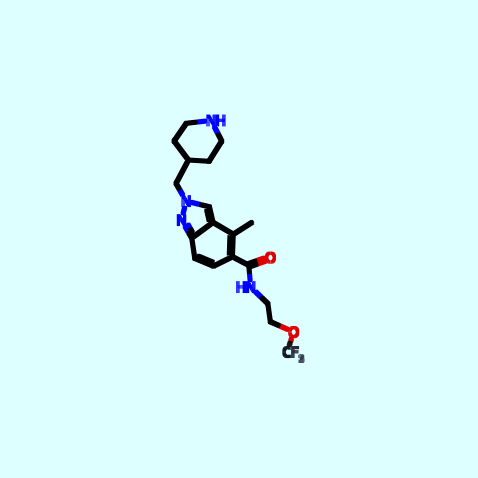 Cc1c(C(=O)NCCOC(F)(F)F)ccc2nn(CC3CCNCC3)cc12